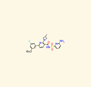 CC(C)COc1cc(F)cc(-c2ccc(C(=O)NS(=O)(=O)c3cccc(N)n3)c(N3CC(C)C3)n2)c1